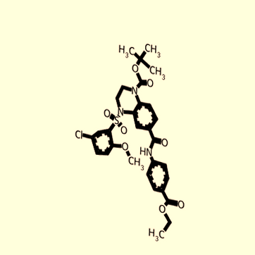 CCOC(=O)c1ccc(NC(=O)c2ccc3c(c2)N(S(=O)(=O)c2cc(Cl)ccc2OC)CCN3C(=O)OC(C)(C)C)cc1